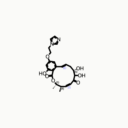 C[C@@H]1/C=C\C(=O)C(O)[C@@H](O)C/C=C/c2cc(OCCn3ccnc3)cc(O)c2C(=O)O[C@H]1C